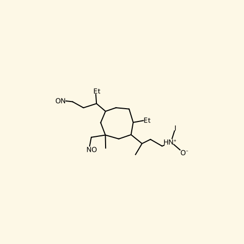 CCC(CCN=O)C1CCC(CC)C(C(C)CC[NH+]([O-])I)CC(C)(CN=O)C1